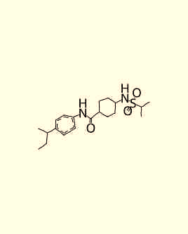 CCC(C)c1ccc(NC(=O)C2CCC(NS(=O)(=O)C(C)C)CC2)cc1